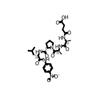 CC(C)C[C@H](NC(=O)[C@@H]1CCCN1C(=O)[C@H](C)NC(=O)[C@H](C)NC(=O)CCC(=O)O)C(=O)Nc1ccc([N+](=O)[O-])cc1